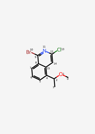 COC(C)c1cccc2c(Br)nc(Cl)cc12